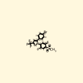 CS(=O)(=O)c1cc(F)c(-n2nc(C(F)(F)F)cc2-c2ccc(Br)cc2)cc1F